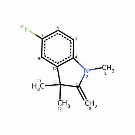 C=C1N(C)c2ccc(F)cc2C1(C)C